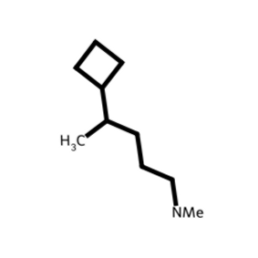 CNCCCC(C)C1CCC1